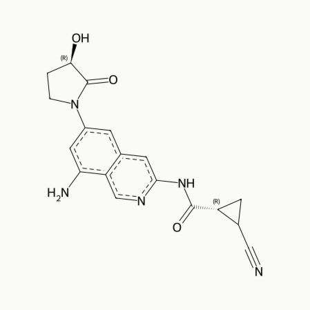 N#CC1C[C@H]1C(=O)Nc1cc2cc(N3CC[C@@H](O)C3=O)cc(N)c2cn1